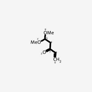 C=CC(=O)CC(OC)OC